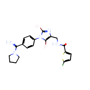 N=C(c1ccc(-n2c(Br)nc(CNC(=O)c3ccc(Cl)s3)c2Br)cc1)N1CCCC1